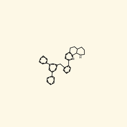 c1ccc(-c2cc(Cc3ccccc3-c3ccc4c(n3)C3NCCCC3CC4)cc(-c3ccccc3)c2)cc1